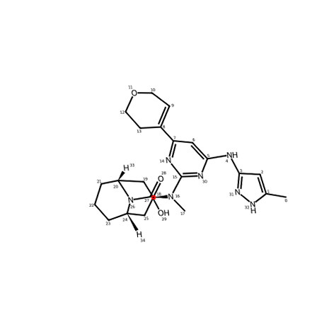 Cc1cc(Nc2cc(C3=CCOCC3)nc(N(C)[C@@H]3C[C@H]4CCC[C@@H](C3)N4C(=O)O)n2)n[nH]1